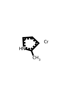 Cc1ccc[nH]1.[Cr]